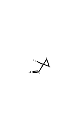 O=CC1(F)CC1